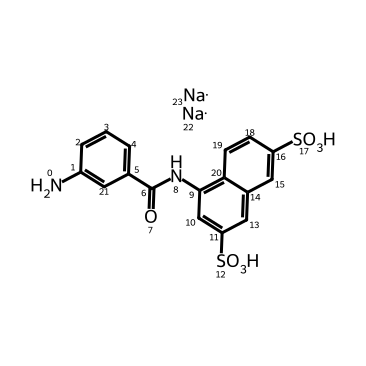 Nc1cccc(C(=O)Nc2cc(S(=O)(=O)O)cc3cc(S(=O)(=O)O)ccc23)c1.[Na].[Na]